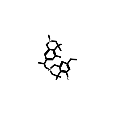 CCc1cc(Cl)c2c(c1)CN(CC(C)c1cc(C)c3c(c1)CN(C)CC3(C)C)CC2(C)C